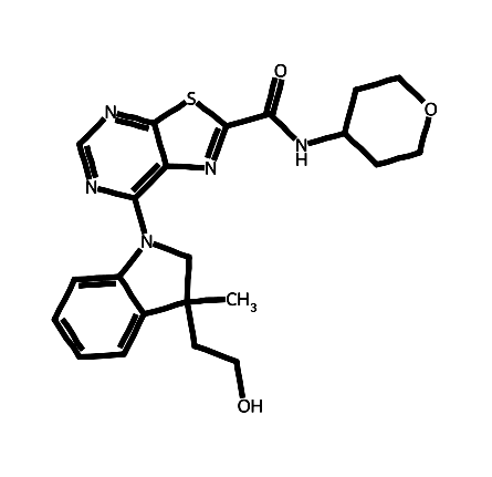 CC1(CCO)CN(c2ncnc3sc(C(=O)NC4CCOCC4)nc23)c2ccccc21